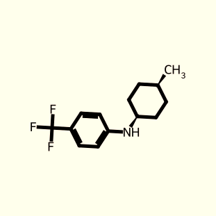 C[C@H]1CC[C@@H](Nc2ccc(C(F)(F)F)cc2)CC1